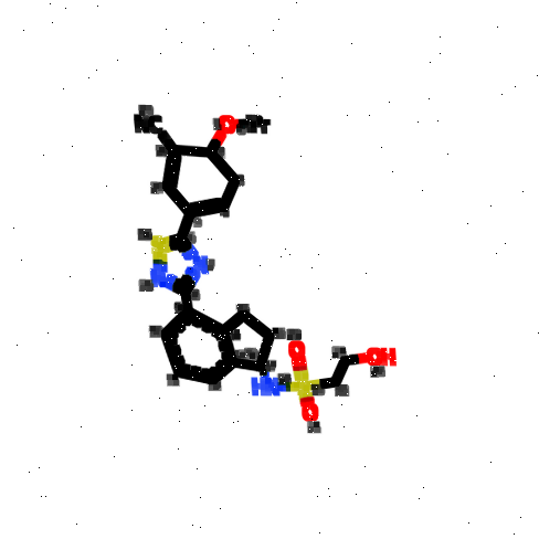 CC(C)OC1CC=C(c2nc(-c3cccc4c3CC[C@@H]4NS(=O)(=O)CCO)ns2)C=C1C#N